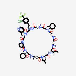 CC[C@H](C)[C@@H]1NC(=O)[C@H](CC(C)C)N(C)C(=O)C[C@@H](C)N(C)C(=O)[C@H](C2CCCCC2)N(C)C(=O)C2(CCCC2)NC(=O)[C@H](Cc2cccnc2)N(C)C(=O)[C@H](CCc2ccc(C(F)(F)F)c(Cl)c2)NC(=O)CN(C)C(=O)[C@H](CC2CCCCC2)N(C)C(=O)CN(C)C(=O)CN(C)C1=O